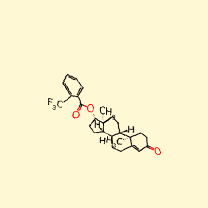 C[C@]12CC[C@H]3[C@@H](CCC4=CC(=O)CC[C@@]43C)[C@@H]1CC[C@@H]2OC(=O)c1ccccc1C(F)(F)F